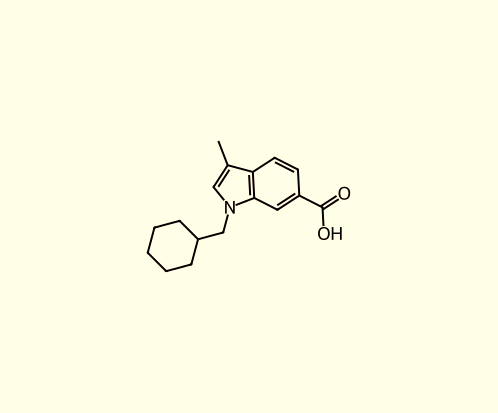 Cc1cn(CC2CCCCC2)c2cc(C(=O)O)ccc12